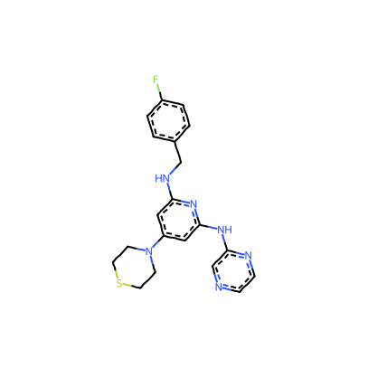 Fc1ccc(CNc2cc(N3CCSCC3)cc(Nc3cnccn3)n2)cc1